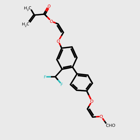 C=C(C)C(=O)O/C=C\Oc1ccc(-c2ccc(O/C=C\OC=O)cc2)c(C(F)F)c1